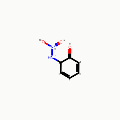 O=C1C=CC=CC1N[N+](=O)[O-]